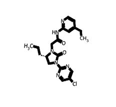 CCC[C@H]1CN(c2ncc(Cl)cn2)C(=O)N1CC(=O)Nc1cc(CC)ccn1